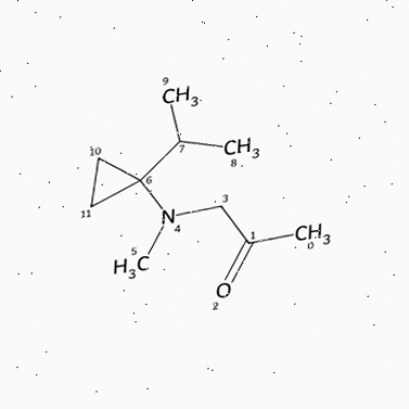 CC(=O)CN(C)C1(C(C)C)CC1